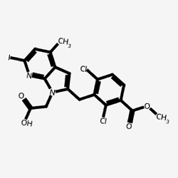 COC(=O)c1ccc(Cl)c(Cc2cc3c(C)cc(I)nc3n2CC(=O)O)c1Cl